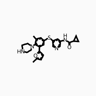 Cc1ccc(-c2cc(Sc3cncc(NC(=O)C4CC4)c3)cc(C)c2N2CCNCC2)o1